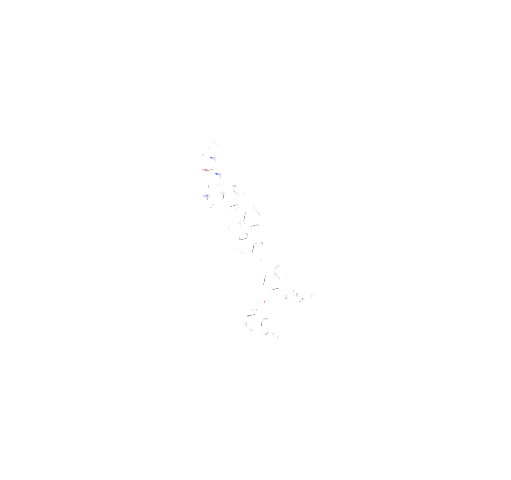 Cc1c(COc2cc(OCc3cncc(C#N)c3)c(CN[C@]3(C(=O)O)CO3)cc2Cl)cccc1-c1cccc(-c2ccc3c(c2)CNCC3NC(=O)NCC#N)c1C